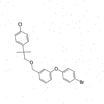 CC(C)(COCc1cccc(Oc2ccc(Br)cc2)c1)c1ccc(Cl)cc1